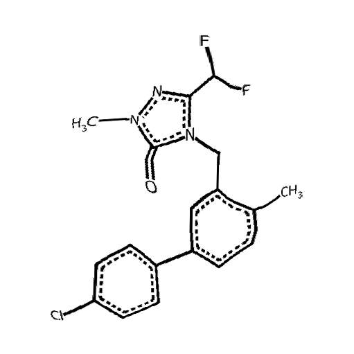 Cc1ccc(-c2ccc(Cl)cc2)cc1Cn1c(C(F)F)nn(C)c1=O